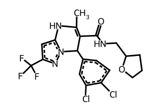 CC1=C(C(=O)NCC2CCCO2)C(c2ccc(Cl)c(Cl)c2)n2nc(C(F)(F)F)cc2N1